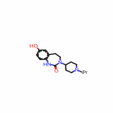 CC(C)N1CCC(N2CCc3cc(O)ccc3NC2=O)CC1